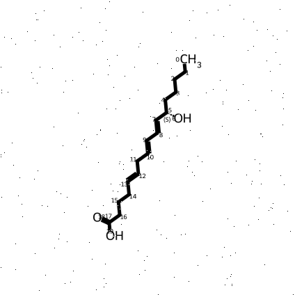 CCCCC[C@H](O)C=CC=CCC=CCCCC(=O)O